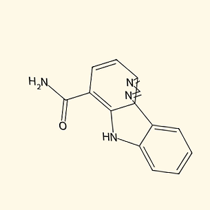 NC(=O)C1=C2Nc3ccccc3C23N=CN=C3C=C1